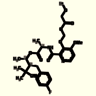 CCOCC(=O)OCOc1c(OC)ccnc1C(=O)N[C@@H](C)C(=O)O[C@@H](C)[C@H](Cc1ccc(F)cc1)C(C)(C)OC